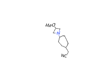 COC1CN(C2CCC(CC#N)CC2)C1